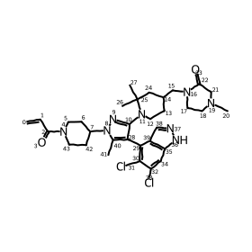 C=CC(=O)N1CCC(n2nc(N3CCC(CN4CCN(C)CC4=O)CC3(C)C)c(-c3c(Cl)c(Cl)cc4[nH]ncc34)c2C)CC1